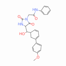 COc1ccc(C2=CC=CC(C(O)C3NC(=O)N(CC(=O)Nc4ccccc4)C3=O)C2)cc1